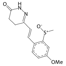 COc1ccc(C=CC2=NNC(=O)CC2)c([S+](C)[O-])c1